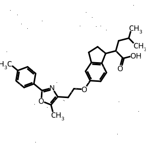 Cc1ccc(-c2nc(CCOc3ccc4c(c3)CCC4C(CC(C)C)C(=O)O)c(C)o2)cc1